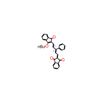 CCCCOC1=C(/C=C/C(=C/C=C2C(=O)c3ccccc3C2=O)c2ccccc2)C(=O)c2ccccc21